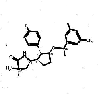 Cc1cc([C@@H](C)O[C@H]2CC[C@@H]([C@H]3C[C@@](C)(N)C(=O)N3)[C@@H]2c2ccc(F)cc2)cc(C(F)(F)F)c1